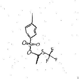 Cc1ccc(S(=O)(=O)OC(C)SC(F)(F)F)cc1